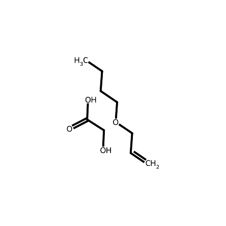 C=CCOCCCC.O=C(O)CO